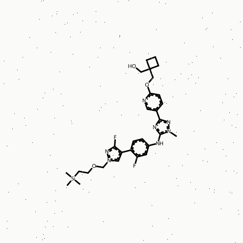 Cn1nc(-c2ccc(OCC3(CO)CCC3)nc2)nc1Nc1ccc(-c2cn(COCC[Si](C)(C)C)nc2F)c(F)c1